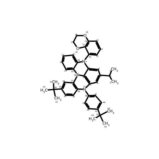 CC(C)c1cc2c3c(c1)N(c1cccc4c1OCCO4)c1ccccc1B3c1cc(C(C)(C)C)ccc1N2c1ccc(C(C)(C)C)cc1